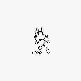 CCCCOC(=O)Nc1ncnc(C)n1